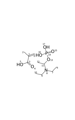 C=C(C)C(=O)O.CCN(CC)C(C)OP(=O)(O)O